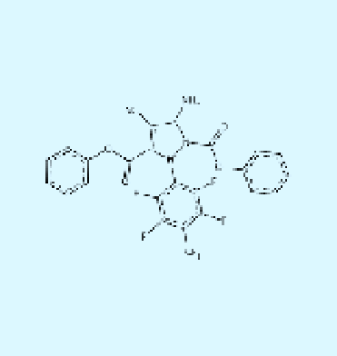 N#CC1=C(C(=O)Oc2ccccc2)N(c2c(F)c(F)c(C(F)(F)F)c(F)c2F)N(C(=O)Oc2ccccc2)C1N